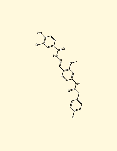 COc1cc(NC(=O)Cc2ccc(Cl)cc2)ccc1C=NNC(=O)c1ccc(O)c(Cl)c1